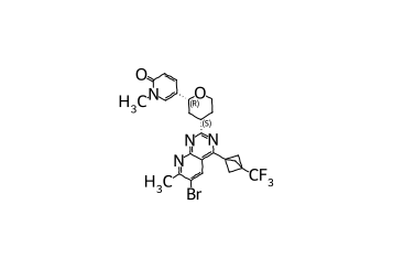 Cc1nc2nc([C@H]3CCO[C@@H](c4ccc(=O)n(C)c4)C3)nc(C34CC(C(F)(F)F)(C3)C4)c2cc1Br